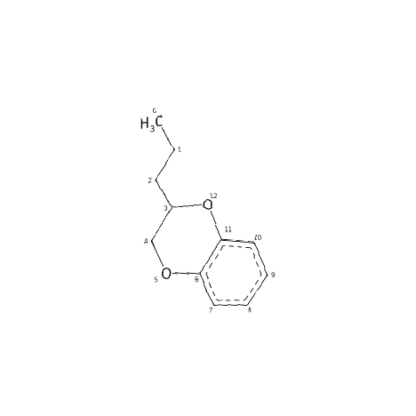 CCCC1COc2ccccc2O1